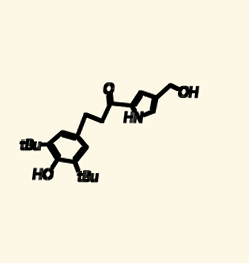 CC(C)(C)c1cc(CCC(=O)c2cc(CO)c[nH]2)cc(C(C)(C)C)c1O